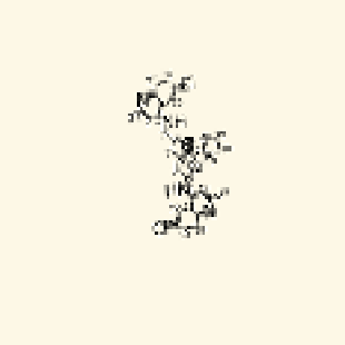 Cc1cc(NCCCN(CCNc2cc(C)nc3ccc(Cl)cc23)S(=O)(=O)c2cccs2)c2cc(Cl)ccc2n1